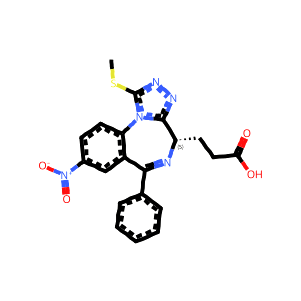 CSc1nnc2n1-c1ccc([N+](=O)[O-])cc1C(c1ccccc1)=N[C@H]2CCC(=O)O